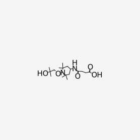 CC(C)(O)CON1C(C)(C)CC(NC(=O)CCC(=O)O)CC1(C)C